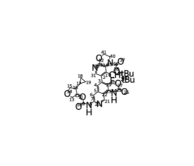 Cc1c(-c2cc3cc(NC(=O)OC4COCC4C4CC4)ncc3c(NC(=O)OC(C)(C)C)c2F)cnc2c1N(C(=O)OC(C)(C)C)CCO2